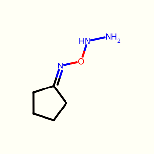 NNON=C1CCCC1